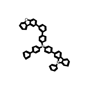 c1ccc(-c2ccc(N(c3ccc(-c4cccc(-c5ccc6oc7ccccc7c6c5)c4)cc3)c3ccc(-c4ccc5c6ccccc6n(-c6ccccc6)c5c4)cc3)cc2)cc1